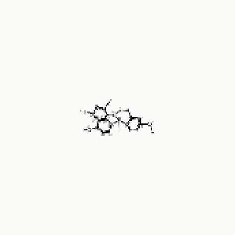 COc1ccc2c(c1)CCN(c1ccc(F)cc1C)C2(C)c1ccc(O)cc1